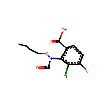 CCCON(C=O)c1c(C(=O)O)ccc(Cl)c1Cl